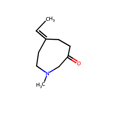 CC=C1CCC(=O)CN(C)CC1